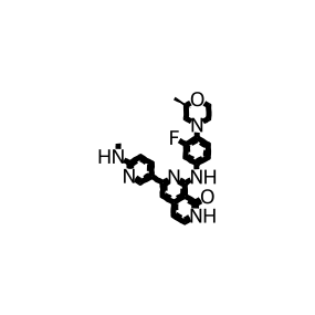 CNc1ccc(-c2cc3cc[nH]c(=O)c3c(Nc3ccc(N4CCO[C@H](C)C4)c(F)c3)n2)cn1